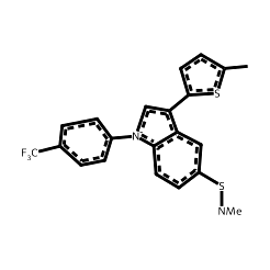 CNSc1ccc2c(c1)c(-c1ccc(C)s1)cn2-c1ccc(C(F)(F)F)cc1